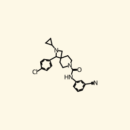 N#Cc1cccc(NC(=O)N2CCC3(CC2)CN(C2CC2)C3c2ccc(Cl)cc2)c1